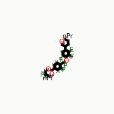 CCCC1CCC(c2ccc(OC(F)(F)c3ccc(C4OCC(F)(CCC)CO4)cc3F)c(F)c2F)CO1